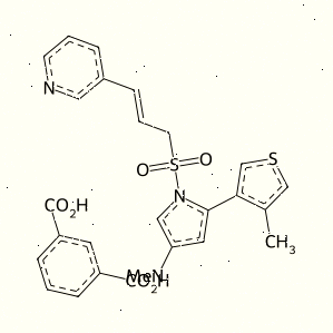 CNc1cc(-c2cscc2C)n(S(=O)(=O)CC=Cc2cccnc2)c1.O=C(O)c1cccc(C(=O)O)c1